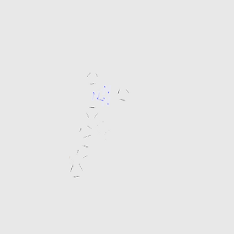 Cc1ccc(-c2nc(-c3ccc(C)cc3)nc(-c3ccc4c(c3)C3(c5cc(-c6ccc7c(c6)S(C)(C)c6ccccc6-7)ccc5-4)C4CC5CC(C4)CC3C5)n2)cc1